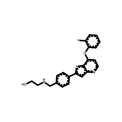 OCCNCc1ccc(-c2cc3nccc(Oc4ccccc4F)c3s2)cc1